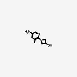 Cc1cc(N)cnc1N1CC(O)C1